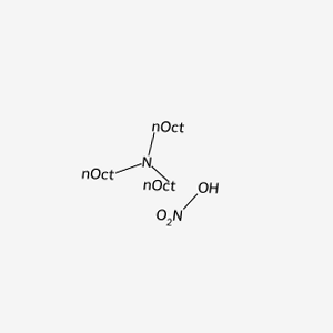 CCCCCCCCN(CCCCCCCC)CCCCCCCC.O=[N+]([O-])O